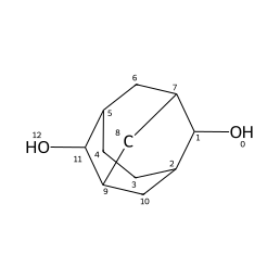 OC1C2CCC3CC1CC(C2)C3O